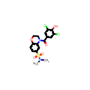 CN(C)S(=O)(=O)c1ccc2c(c1)N(C(=O)c1cc(Cl)c(O)c(Cl)c1)CCO2